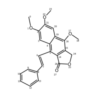 COc1cc2c(/C=C/c3ccccc3)c3c(c(OC)c2cc1OC)COC3=O